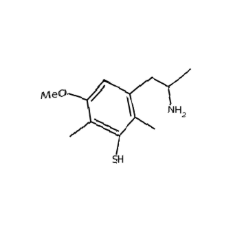 COc1cc(CC(C)N)c(C)c(S)c1C